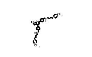 CN1CCN(CCCCNCc2ccc(-c3cc(-c4ccc(CNCCCCN5CCN(C)CC5)cc4)c4cc[nH]c4n3)cc2)CC1